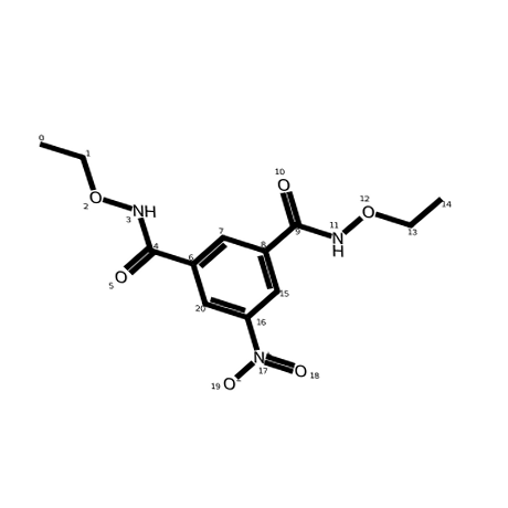 CCONC(=O)c1cc(C(=O)NOCC)cc([N+](=O)[O-])c1